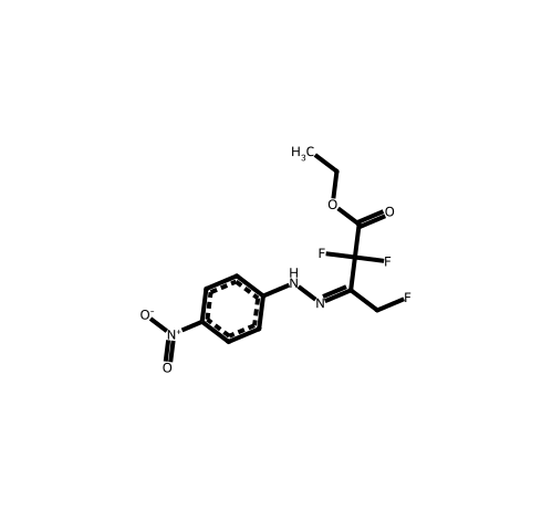 CCOC(=O)C(F)(F)C(CF)=NNc1ccc([N+](=O)[O-])cc1